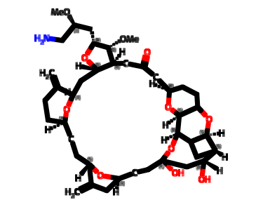 C=C1C[C@@H]2CC[C@@]3(O)C[C@@H](O)[C@@H]4CC5[C@H]4OC4CC[C@H](CC(=O)C[C@@H]6[C@@H](OC)[C@@H](C[C@@H](CN)OC)O[C@H]6C[C@H]6O[C@H](CCC6=C)CC[C@@H]1O2)O[C@@H]4[C@@H]5O3